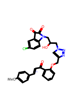 COc1ccc(/C=C/C(=O)c2ccccc2OCc2cn(CC(O)CN3C(=O)C(=O)c4cc(Cl)ccc43)nn2)cc1